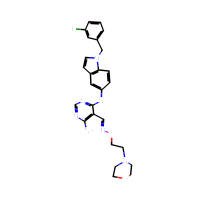 Nc1ncnc(Nc2ccc3c(ccn3Cc3cccc(F)c3)c2)c1C=NOCCN1CCOCC1